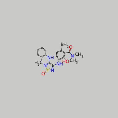 Bc1ccc(Nc2n[s+]([O-])nc2Nc2ccccc2C)c(O)c1C(=O)N(C)C